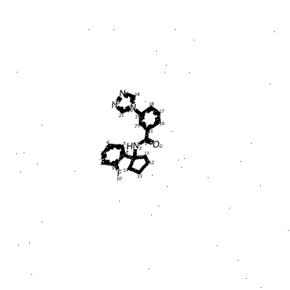 O=C(NC1(c2ccccc2F)CCCC1)c1cccc(-n2cnnc2)c1